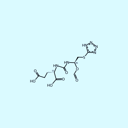 O=CO[C@H](CSc1nnn[nH]1)NC(=O)N[C@@H](CCC(=O)O)C(=O)O